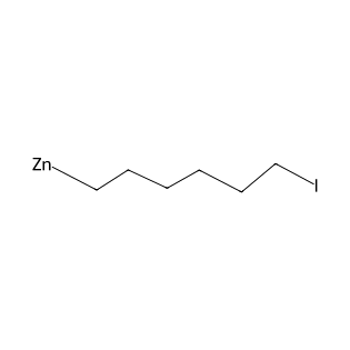 [Zn][CH2]CCCCCI